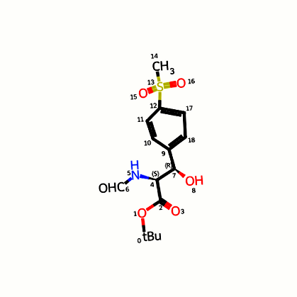 CC(C)(C)OC(=O)[C@@H](NC=O)[C@H](O)c1ccc(S(C)(=O)=O)cc1